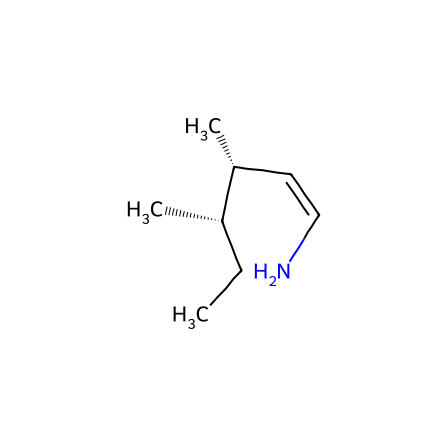 CC[C@H](C)[C@H](C)/C=C\N